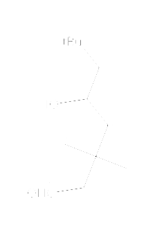 CC(C)(C)CC(O)CC(C)(C)CC=O